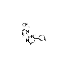 FC(F)(F)c1csc(-c2n[c]cc(-c3ccsc3)n2)n1